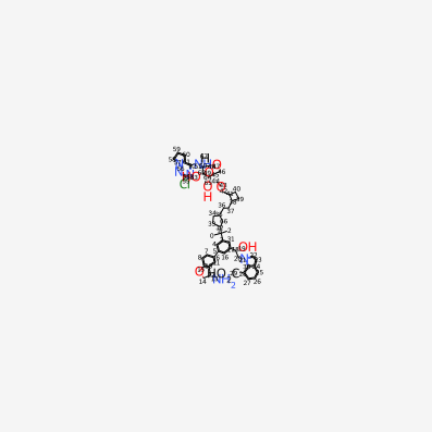 CC(C)(c1cc(-c2ccc3c(c2)[C@H](N)CO3)cc([C@H](O)Cn2ccc3cccc(C(=O)O)c32)c1)C1CCC(CCC2CCC2COC[C@@]23CO[C@@H](O2)[C@H](Nc2nc(Cl)nn4cccc24)[C@@H](O)[C@H]3O)C1